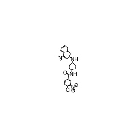 CN(C)c1cc(NC2CCC(NC(=O)c3ccc(Cl)c([N+](=O)[O-])c3)CC2)nc2ccccc12